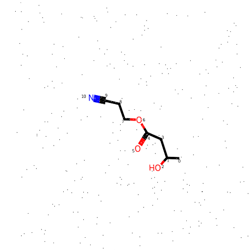 CC(O)CC(=O)OCCC#N